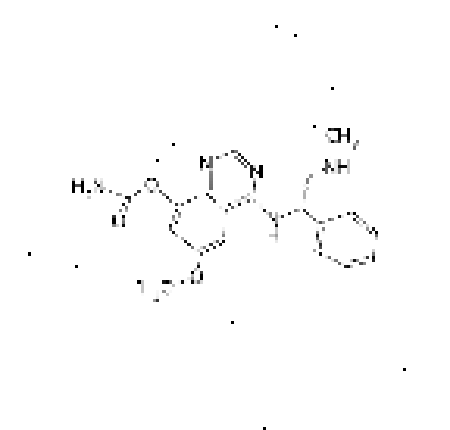 CNC[C@@H](Nc1ncnc2c(OC(N)=O)cc(OC)cc12)c1ccccc1